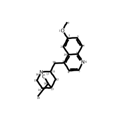 COc1ccc2nccc(CC3CC4CCN3CC4C)c2c1